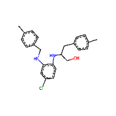 Cc1ccc(CNc2cc(Cl)ccc2NC(CO)Cc2ccc(C)cc2)cc1